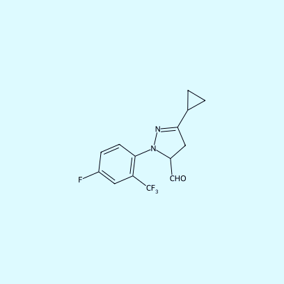 O=CC1CC(C2CC2)=NN1c1ccc(F)cc1C(F)(F)F